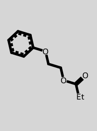 [CH2]CC(=O)OCCOc1ccccc1